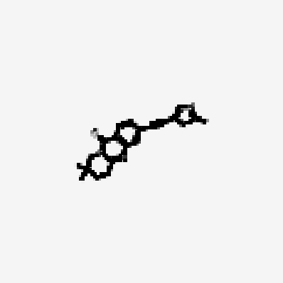 Cc1ncc(C#Cc2ccc3c(=O)n4c(nc3c2)CCC(C)(C)C4)s1